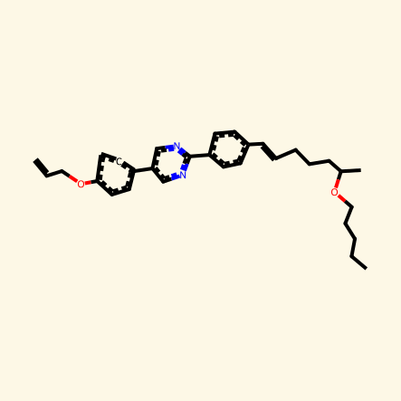 C=CCOc1ccc(-c2cnc(-c3ccc(/C=C/CCCC(C)OCCCCC)cc3)nc2)cc1